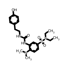 CCN(CC)S(=O)(=O)c1ccc(N(C)C)c(NC(=O)NCCc2ccc(O)cc2)c1